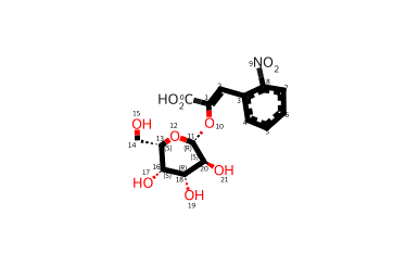 O=C(O)C(=Cc1ccccc1[N+](=O)[O-])O[C@H]1O[C@@H](CO)[C@@H](O)[C@@H](O)[C@@H]1O